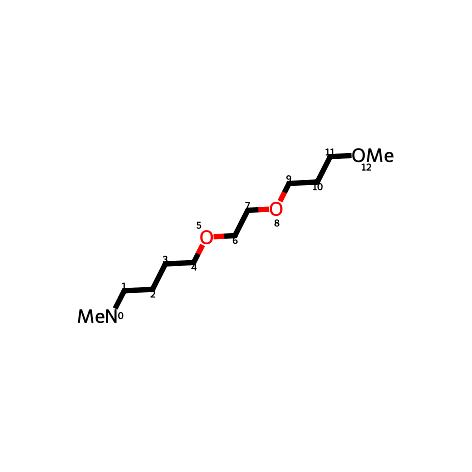 CNCCCCOCCOCCCOC